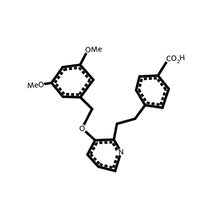 COc1cc(COc2cccnc2CCc2ccc(C(=O)O)cc2)cc(OC)c1